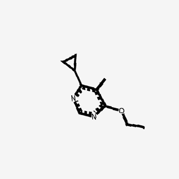 CCOc1ncnc(C2CC2)c1C